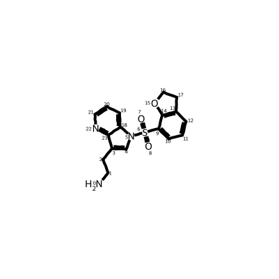 NCCc1cn(S(=O)(=O)c2cccc3c2OCC3)c2cccnc12